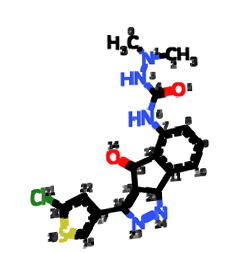 CN(C)NC(=O)Nc1cccc2c1C(=O)C1=C(c3csc(Cl)c3)N=NC12